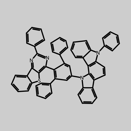 c1ccc(-c2nc(-c3c(-c4ccccc4)cc(-n4c5ccccc5c5ccc6c(c7ccccc7n6-c6ccccc6)c54)cc3-c3ccccc3)c3sc4ccccc4c3n2)cc1